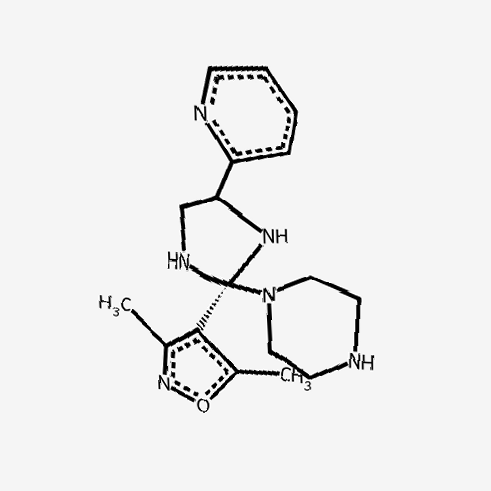 Cc1noc(C)c1[C@]1(N2CCNCC2)NCC(c2ccccn2)N1